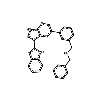 c1ccc(CNCc2cncc(-c3cnc4[nH]nc(-c5cc6ccncc6[nH]5)c4c3)c2)cc1